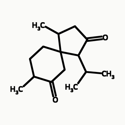 CC1CCC2(CC1=O)C(C)CC(=O)C2C(C)C